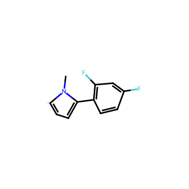 Cn1[c]ccc1-c1ccc(F)cc1F